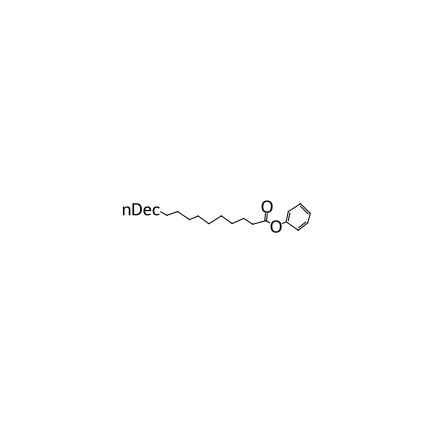 CCCCCCCCCCCCCCCCCCCC(=O)Oc1ccccc1